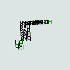 Cl.Cl.Cl.Cl.Cl.Cl.[NaH].[NaH].[NaH].[NaH].[NaH].[NaH].[NaH].[NaH].[NaH].[NaH].[NaH].[NaH].[NaH]